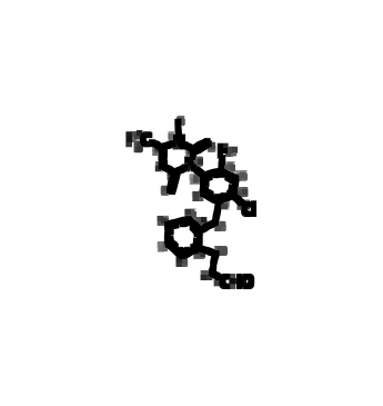 C=C1C=C(C(F)(F)F)N(C)C(=C)N1c1cc(Cc2ccccc2CCC=O)c(Cl)cc1F